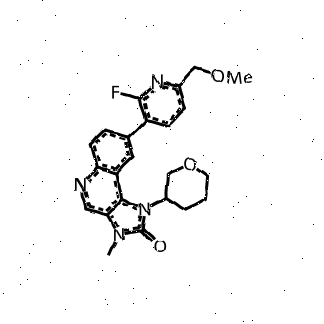 COCc1ccc(-c2ccc3ncc4c(c3c2)n(C2CCCOC2)c(=O)n4C)c(F)n1